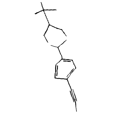 CC#Cc1ccc(C2SCC(C(C)(C)C)CS2)cc1